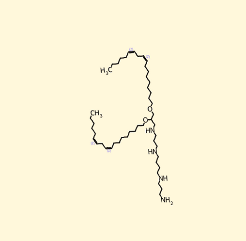 CCCCC/C=C\C/C=C\CCCCCCCCOCC(CNCCCNCCCCNCCCN)OCCCCCCCC/C=C\C/C=C\CCCCC